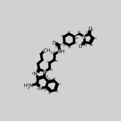 CCCCc1nc2c(N)nc3ccccc3c2n1CCCCNC(=O)[C@H]1CC[C@H](CN2C(=O)C=CC2=O)CC1